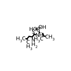 CC(C)C[C@H](NC(=S)[C@@H](N)CC(C)C)B(O)O